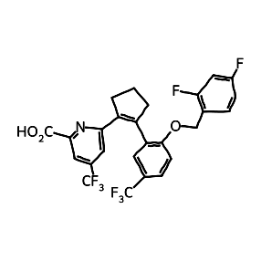 O=C(O)c1cc(C(F)(F)F)cc(C2=C(c3cc(C(F)(F)F)ccc3OCc3ccc(F)cc3F)CCC2)n1